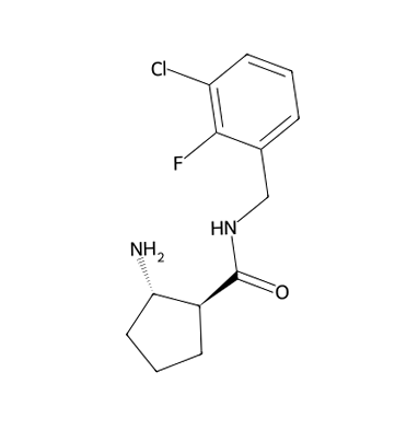 N[C@H]1CCC[C@@H]1C(=O)NCc1cccc(Cl)c1F